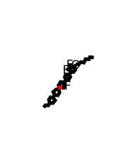 CCCCCCCOc1ccc(-c2ccc(-c3ccc(C4CCC(C5CCC(CCC)CC5)CC4)cc3F)cc2)c(F)c1F